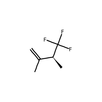 C=C(C)[C@H](C)C(F)(F)F